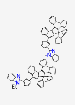 CCn1c(-c2cccc(-c3cc4c(c5ccccc35)-c3c(c5ccccc5c5cc(Cn6c(-c7cccc(-c8cc9c(c%10ccccc8%10)-c8c(c%10ccccc%10c%10ccccc8%10)C98c9ccccc9-c9ccccc98)c7)nc7ccccc76)ccc35)C43c4ccccc4-c4ccccc43)c2)nc2ccccc21